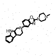 CN1CCN(c2nc3cc(N4CCc5c([nH]c6ccccc56)C4)ccc3o2)CC1